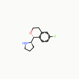 Fc1ccc2c(c1)CCO[C@H]2[C@H]1CCCN1